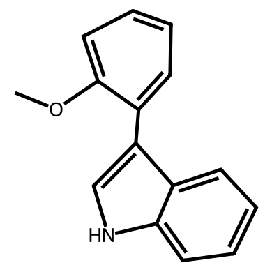 COc1ccccc1-c1c[nH]c2ccccc12